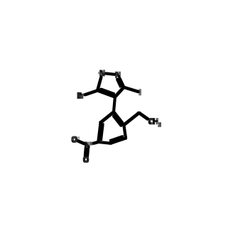 CCc1ccc([N+](=O)[O-])cc1C1=C(Br)[N]N=C1I